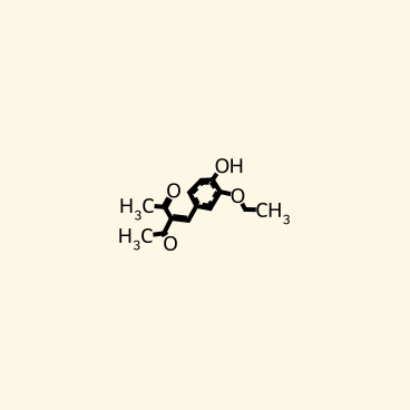 CCOc1cc(C=C(C(C)=O)C(C)=O)ccc1O